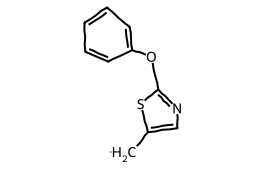 [CH2]c1cnc(Oc2ccccc2)s1